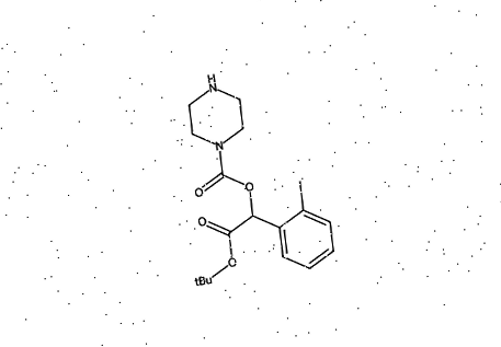 Cc1ccccc1C(OC(=O)N1CCNCC1)C(=O)OC(C)(C)C